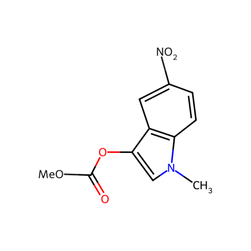 COC(=O)Oc1cn(C)c2ccc([N+](=O)[O-])cc12